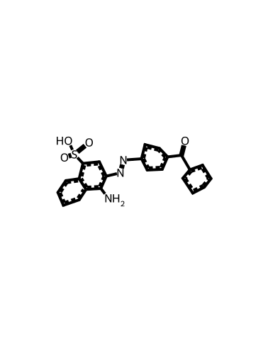 Nc1c(/N=N/c2ccc(C(=O)c3ccccc3)cc2)cc(S(=O)(=O)O)c2ccccc12